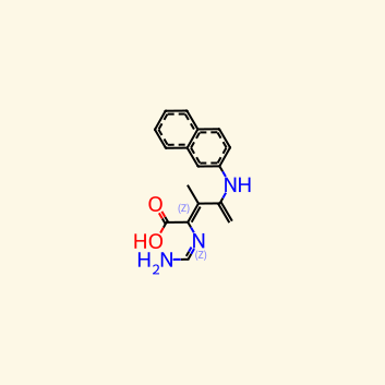 C=C(Nc1ccc2ccccc2c1)/C(C)=C(\N=C/N)C(=O)O